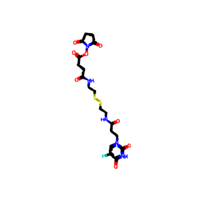 O=C(CCC(=O)ON1C(=O)CCC1=O)NCCSSCCNC(=O)CCn1cc(F)c(=O)[nH]c1=O